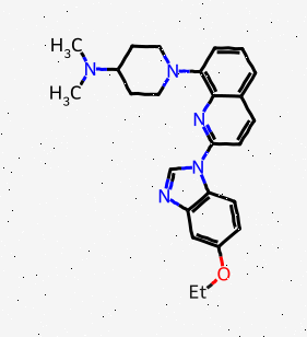 CCOc1ccc2c(c1)ncn2-c1ccc2cccc(N3CCC(N(C)C)CC3)c2n1